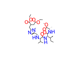 CCOC(=O)CC(Cc1ncc(CN[C@H](C(=O)N[C@H](C(=O)N[C@@H](C)C(=O)OC)[C@@H](C)CC)C(C)C)n1C)C(=O)OCC